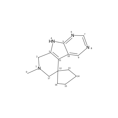 CN1Cc2[nH]c3ncncc3c2C2(CCCC2)C1